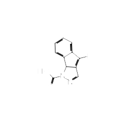 O=C(O)N1N=CC2=C(F)c3ccccc3C21